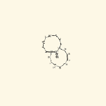 [N-]=[N+]1C2CCCCCCCCC1CCCCCCCC2